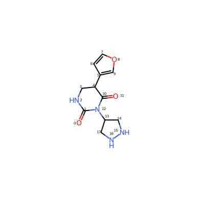 O=C1NCC(c2ccoc2)C(=O)N1C1CNNC1